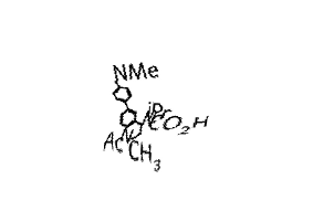 CNCc1ccc(-c2ccc3c(c2)[C@H](N(C(=O)O)C(C)C)C[C@H](C)N3C(C)=O)cc1